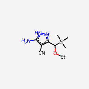 CCOC(c1n[nH]c(N)c1C#N)[Si](C)(C)C